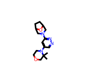 CC1(C)COCCN1c1cnnc(N2CC3CCC(C2)O3)c1